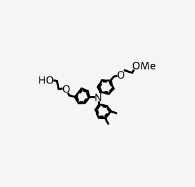 COCCOCc1ccc(N(c2ccc(COCCO)cc2)c2ccc(C)c(C)c2)cc1